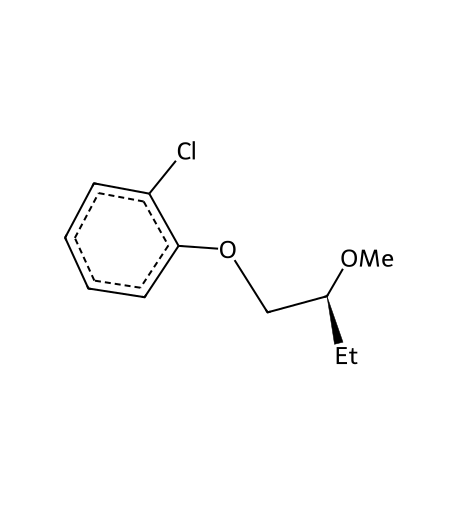 CC[C@@H](COc1ccccc1Cl)OC